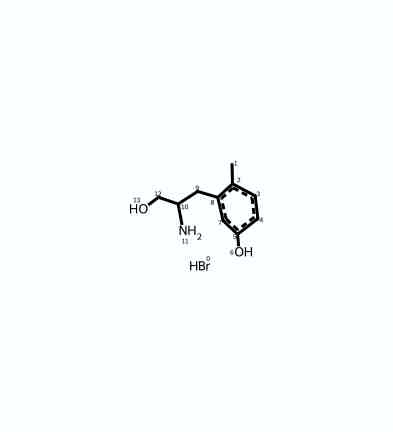 Br.Cc1ccc(O)cc1CC(N)CO